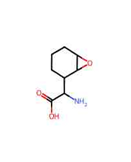 NC(C(=O)O)C1CCCC2OC21